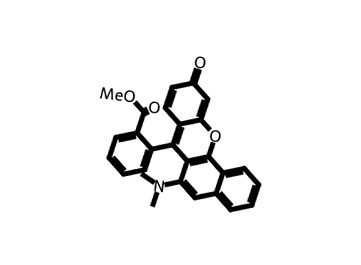 COC(=O)c1ccccc1-c1c2ccc(=O)cc-2oc2c1c(N(C)C)cc1ccccc12